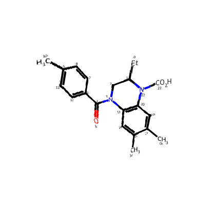 CCC1CN(C(=O)c2ccc(C)cc2)c2cc(C)c(C)cc2N1C(=O)O